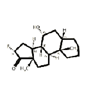 C[C@]12CCCC[C@H]1C[C@@H](O)[C@@H]1[C@@H]2CC[C@]2(C)C(=O)[C@H](F)C[C@@H]12